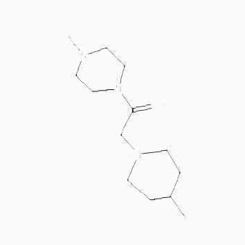 CCN1CCN(C(=O)CN2CCC(C)CC2)CC1